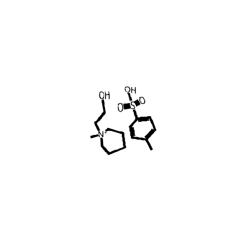 C[N+]1(CCO)CCCCC1.Cc1ccc(S(=O)(=O)O)cc1